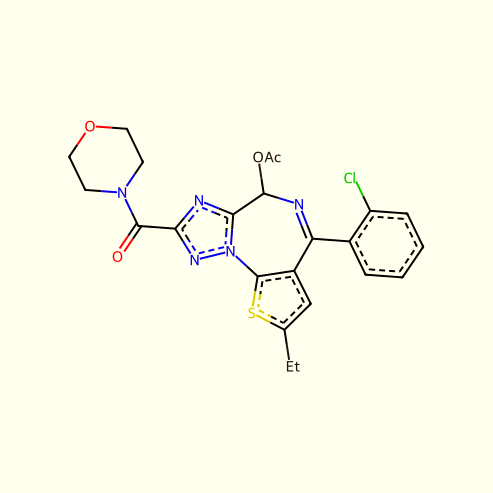 CCc1cc2c(s1)-n1nc(C(=O)N3CCOCC3)nc1C(OC(C)=O)N=C2c1ccccc1Cl